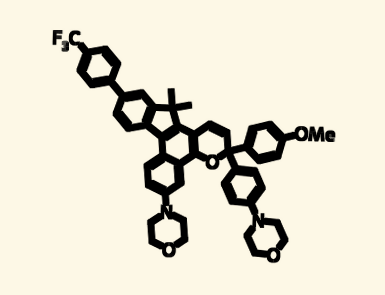 COc1ccc(C2(c3ccc(N4CCOCC4)cc3)C=Cc3c4c(c5ccc(N6CCOCC6)cc5c3O2)-c2ccc(-c3ccc(C(F)(F)F)cc3)cc2C4(C)C)cc1